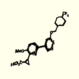 COc1ccc(-c2cnnc(OCC3CCC(C(F)(F)F)CC3)c2)nc1C1CC1C(=O)O